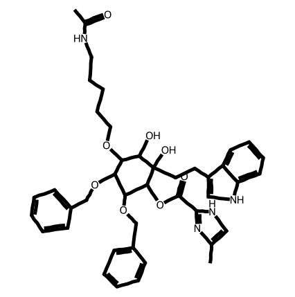 CC(=O)NCCCCCOC1C(OCc2ccccc2)C(OCc2ccccc2)C(OC(=O)c2nc(C)c[nH]2)C(O)(CCc2c[nH]c3ccccc23)C1O